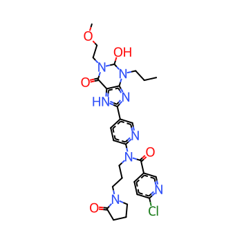 CCCN1c2nc(-c3ccc(N(CCCN4CCCC4=O)C(=O)c4ccc(Cl)nc4)nc3)[nH]c2C(=O)N(CCOC)C1O